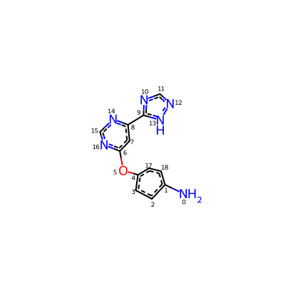 Nc1ccc(Oc2cc(-c3ncn[nH]3)ncn2)cc1